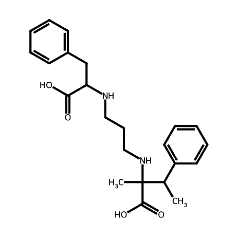 CC(c1ccccc1)C(C)(NCCCNC(Cc1ccccc1)C(=O)O)C(=O)O